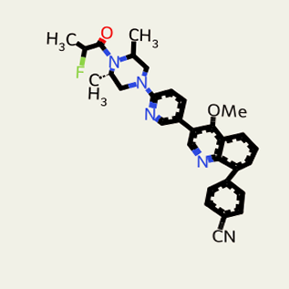 COc1c(-c2ccc(N3CC(C)N(C(=O)C(C)F)[C@@H](C)C3)nc2)cnc2c(-c3ccc(C#N)cc3)cccc12